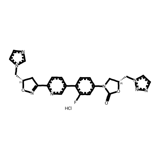 Cl.O=C1O[C@@H](Cn2ccnn2)CN1c1ccc(-c2ccc(C3=NO[C@H](Cn4ccnc4)C3)nc2)c(F)c1